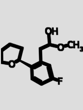 COC(O)Cc1cc(F)ccc1[C@@H]1CCCCO1